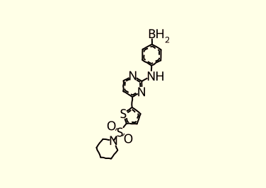 Bc1ccc(Nc2nccc(-c3ccc(S(=O)(=O)N4CCCCC4)s3)n2)cc1